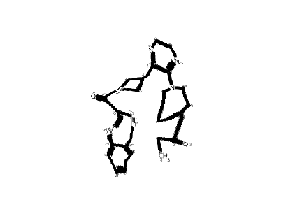 CCC(=O)C1CCN(c2nccnc2C2CN(C(=O)c3nc4ccccc4[nH]3)C2)CC1